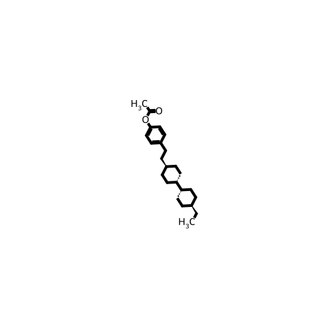 CC[C@H]1CC[C@H]([C@H]2CC[C@H](CCc3ccc(OC(C)=O)cc3)CC2)CC1